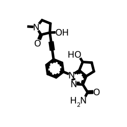 CN1CCC(O)(C#Cc2cccc(-n3nc(C(N)=O)c4c3C(O)CC4)c2)C1=O